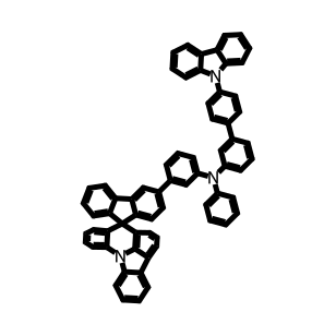 c1ccc(N(c2cccc(-c3ccc(-n4c5ccccc5c5ccccc54)cc3)c2)c2cccc(-c3ccc4c(c3)-c3ccccc3C43c4ccccc4-n4c5ccccc5c5cccc3c54)c2)cc1